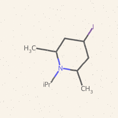 CC(C)N1C(C)CC(I)CC1C